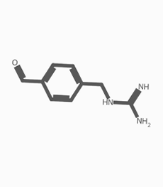 N=C(N)NCc1ccc(C=O)cc1